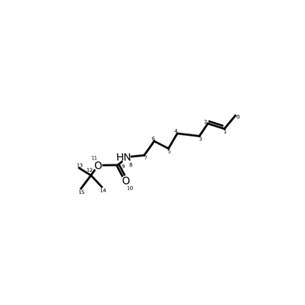 C/C=C/CCCCCNC(=O)OC(C)(C)C